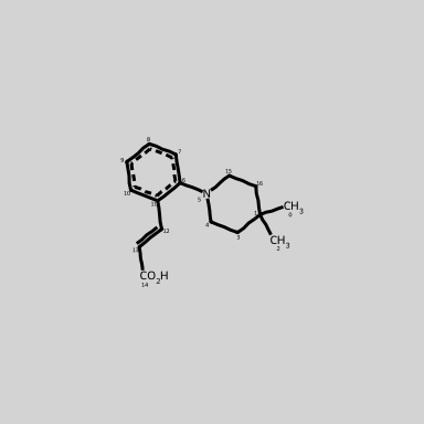 CC1(C)CCN(c2ccccc2C=CC(=O)O)CC1